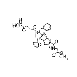 COC(=O)CNC(=O)c1ccc2c(c1)nc(C(Cc1ccccc1)NC(=O)CCC(=O)NO)n2Cc1ccco1